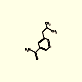 CC(C)Cc1c[c]cc(C(N)=O)c1